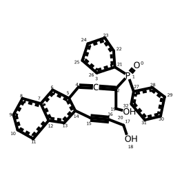 O=P(C(=C=Cc1cc2ccccc2cc1C#CCO)CO)(c1ccccc1)c1ccccc1